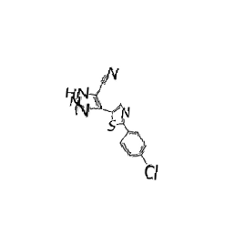 N#Cc1[nH]nnc1-c1cnc(-c2ccc(Cl)cc2)s1